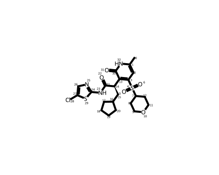 Cc1cc(S(=O)(=O)C2CCOCC2)c([C@@H](CC2CCCC2)C(=O)Nc2ncc(Cl)s2)c(=O)[nH]1